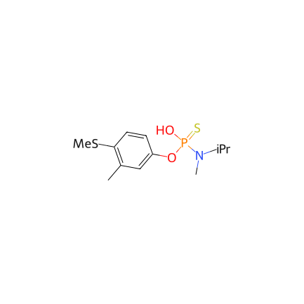 CSc1ccc(OP(O)(=S)N(C)C(C)C)cc1C